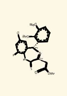 COC(=O)C[C@@H]1S[C@@H](c2cccc(OC)c2OC)c2cc(Cl)cc(F)c2NC1=S